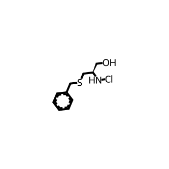 OC[C@H](CSCc1ccccc1)NCl